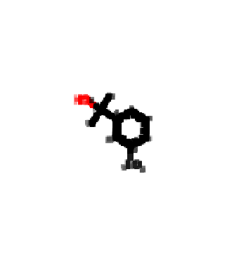 CC(C)(O)c1cccc([N+](=O)[O-])c1